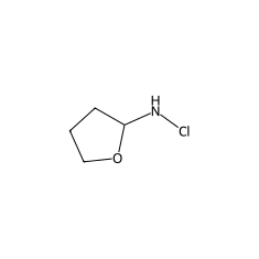 ClNC1CCCO1